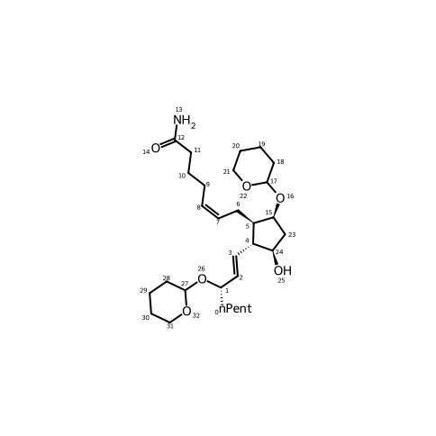 CCCCC[C@@H](/C=C/[C@@H]1[C@@H](C/C=C\CCCC(N)=O)[C@@H](OC2CCCCO2)C[C@H]1O)OC1CCCCO1